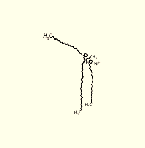 CCCCCCCCCCCCCCCCCCC#CCCCc1ccccc1/N=C(C#CCCCCCCCCCCCCCCCCCCCCCCCCCCC)\C(CCCC)=N\c1ccccc1CCCC#CCCCCCCCCCCCCCCCCCC.[Ni+2]